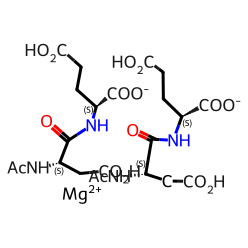 CC(=O)N[C@@H](CC(=O)O)C(=O)N[C@@H](CCC(=O)O)C(=O)[O-].CC(=O)N[C@@H](CC(=O)O)C(=O)N[C@@H](CCC(=O)O)C(=O)[O-].[Mg+2]